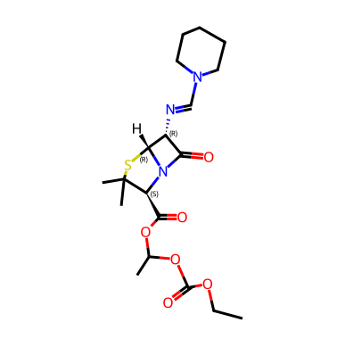 CCOC(=O)OC(C)OC(=O)[C@@H]1N2C(=O)[C@@H](N=CN3CCCCC3)[C@H]2SC1(C)C